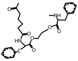 CNC(Cc1ccccc1)C(=O)OCCCOC(=O)C(Cc1ccccc1)NC(=O)CCCCC(C)=O